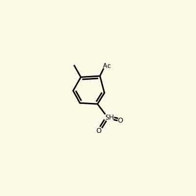 CC(=O)c1cc([SH](=O)=O)ccc1C